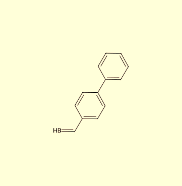 B=Cc1ccc(-c2ccccc2)cc1